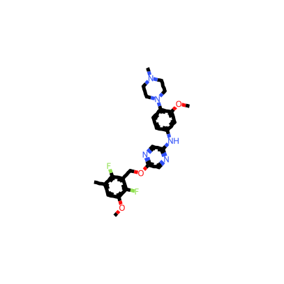 COc1cc(Nc2cnc(OCc3c(F)c(C)cc(OC)c3F)cn2)ccc1N1CCN(C)CC1